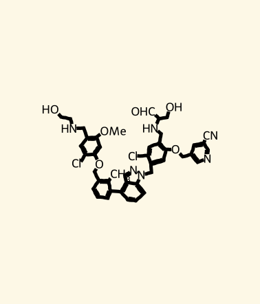 COc1cc(OCc2cccc(-c3cccc4c3cnn4Cc3cc(OCc4cncc(C#N)c4)c(CNC(C=O)CO)cc3Cl)c2C)c(Cl)cc1CNCCO